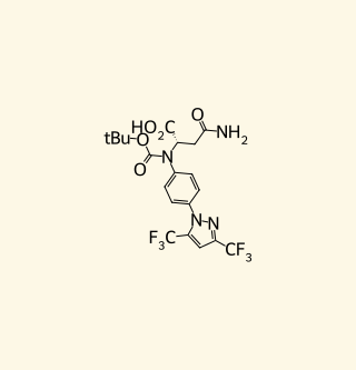 CC(C)(C)OC(=O)N(c1ccc(-n2nc(C(F)(F)F)cc2C(F)(F)F)cc1)[C@@H](CC(N)=O)C(=O)O